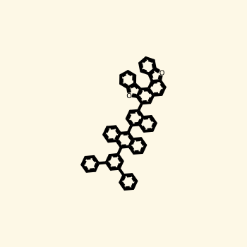 c1ccc(-c2cc(-c3ccccc3)cc(-c3c4ccccc4c(-c4ccc(-c5cc6ccc7oc8ccccc8c7c6c6c5oc5ccccc56)c5ccccc45)c4ccccc34)c2)cc1